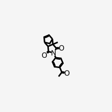 CC(=O)c1ccc(N2C(=O)C3C4C=CC(C4)C3(C)C2=O)cc1